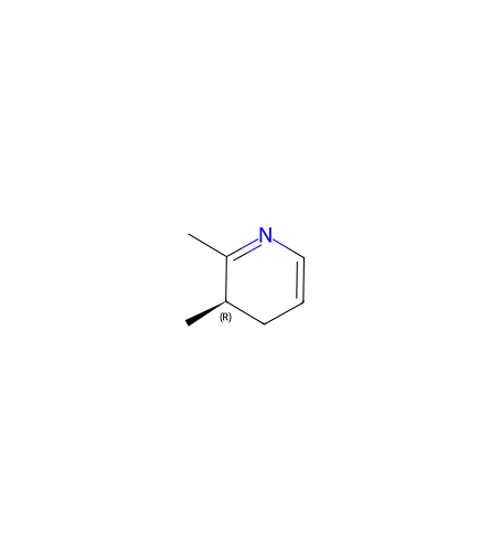 CC1=NC=CC[C@H]1C